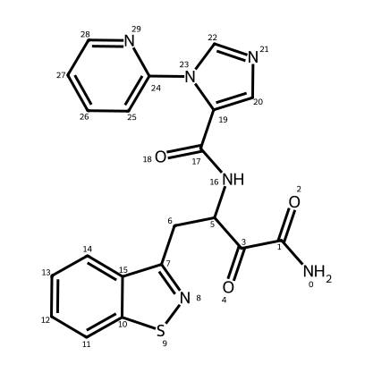 NC(=O)C(=O)C(Cc1nsc2ccccc12)NC(=O)c1cncn1-c1ccccn1